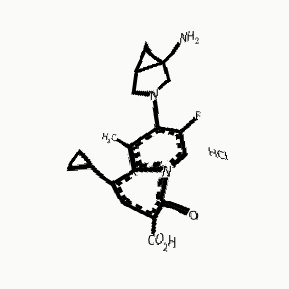 Cc1c(N2CC3CC3(N)C2)c(F)cn2c(=O)c(C(=O)O)cc(C3CC3)c12.Cl